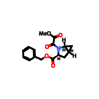 COC(=O)C(=O)N1[C@@H]2C[C@@H]2C[C@H]1C(=O)OCc1ccccc1